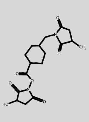 CC1CC(=O)N(CC2CCC(C(=O)ON3C(=O)CC(O)C3=O)CC2)C1=O